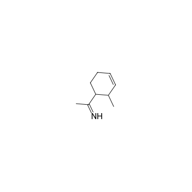 CC(=N)C1CCC=CC1C